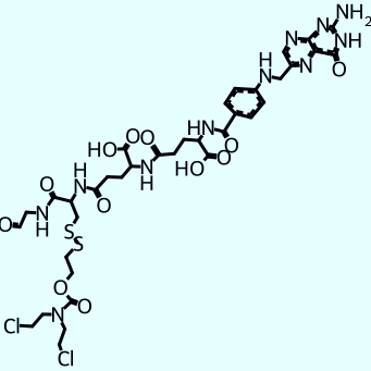 Nc1nc2ncc(CNc3ccc(C(=O)NC(CCC(=O)NC(CCC(=O)NC(CSSCCOC(=O)N(CCCl)CCCl)C(=O)NCC=O)C(=O)O)C(=O)O)cc3)nc2c(=O)[nH]1